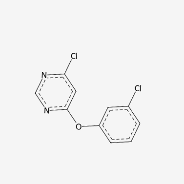 Clc1cccc(Oc2cc(Cl)ncn2)c1